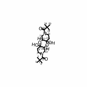 CC(C)(C)C(=O)N1CC[C@]2(O)O[C@H]3CN(C(=O)C(C)(C)C)CC[C@]3(O)O[C@H]2C1